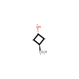 O=C(O)[C@H]1C[C@H](O)C1